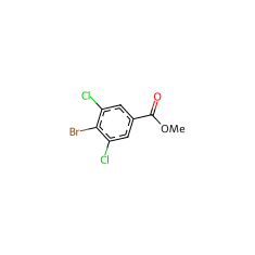 COC(=O)c1cc(Cl)c(Br)c(Cl)c1